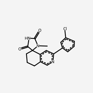 CN1C(=O)NC(=O)C12CCCc1cnc(-c3cccc(Cl)c3)cc12